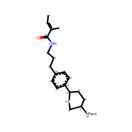 C/C=C(\C)C(=O)NCCCc1ccc(C2CCC(CCCCC)CC2)cc1